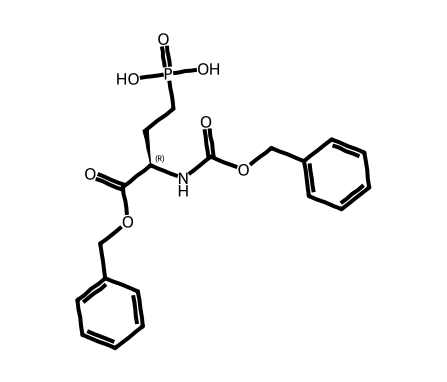 O=C(N[C@H](CCP(=O)(O)O)C(=O)OCc1ccccc1)OCc1ccccc1